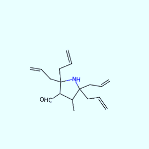 C=CCC1(CC=C)NC(CC=C)(CC=C)C(C=O)C1C